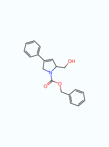 O=C(OCc1ccccc1)N1CC(c2ccccc2)=CC1CO